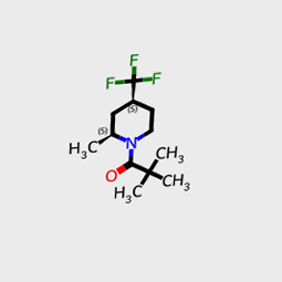 C[C@H]1C[C@@H](C(F)(F)F)CCN1C(=O)C(C)(C)C